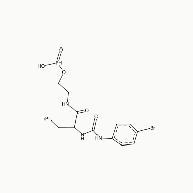 CC(C)CC(NC(=O)Nc1ccc(Br)cc1)C(=O)NCCO[PH](=O)O